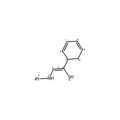 CC(C)N/C=C(\S)C1C=CC=CC1